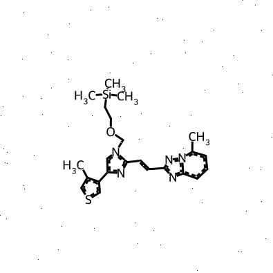 Cc1cscc1-c1cn(COCC[Si](C)(C)C)c(C=Cc2nc3cccc(C)n3n2)n1